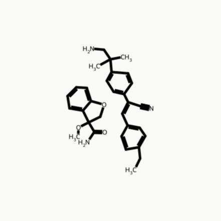 CCc1ccc(/C=C(\C#N)c2ccc(C(C)(C)CN)cc2)cc1.COC1(C(N)=O)COc2ccccc21